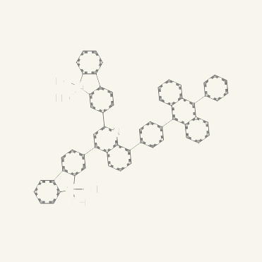 C[Si]1(C)c2ccccc2-c2ccc(-c3cc(-c4ccc5c(c4)[Si](C)(C)c4ccccc4-5)c4cccc(-c5ccc(-c6c7ccccc7c(-c7ccccc7)c7ccccc67)cc5)c4n3)cc21